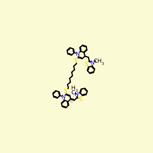 C[n+]1c(/C=C2\C=C(SCCCCCCCCCSC3=CC(Cc4sc5ccccc5[n+]4C)c4ccccc4N3c3ccccc3)N(c3ccccc3)c3ccccc32)sc2ccccc21